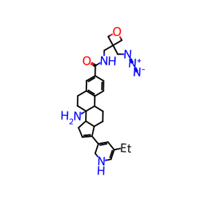 CCC1=CNCC(C2=CCC3C2CCC2c4ccc(C(=O)NCC5(CN=[N+]=[N-])COC5)cc4CC[C@]23N)=C1